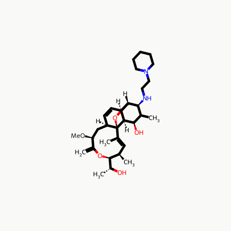 C=C1O[C@H]([C@@H](C)O)[C@H](C)/C=C(\C)[C@]23O[C@@H]4[C@H](C=C[C@@H]2C[C@@H]1OC)[C@H]3[C@H](O)C(C)[C@@H]4NCCN1CCCCC1